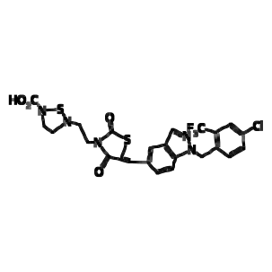 O=C(O)N1CCN(CCN2C(=O)SC(=Cc3ccc4c(cnn4Cc4ccc(Cl)cc4C(F)(F)F)c3)C2=O)S1